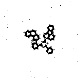 c1ccc(-c2nc(-c3ccc4c5c(cccc35)-c3ccccc3-4)nc(-c3cccc4sc5c(ccc6ccc7ccccc7c65)c34)n2)cc1